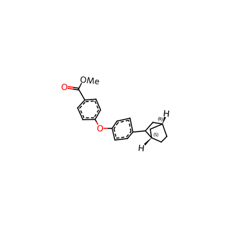 COC(=O)c1ccc(Oc2ccc(C3C[C@@H]4CC[C@H]3C4)cc2)cc1